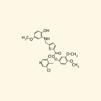 COc1ccc(O)c(NCc2ccc(C(=O)O[C@@H](Cc3c(Cl)cncc3Cl)c3ccc(OC)c(OC)c3)s2)c1